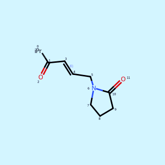 CC(C)C(=O)/C=C/CN1CCCC1=O